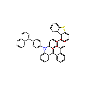 c1ccc(N(c2ccc(-c3cccc4ccccc34)cc2)c2ccc(-c3cccc4sc5ccccc5c34)cc2)c(-c2cc3ccccc3c3ccccc23)c1